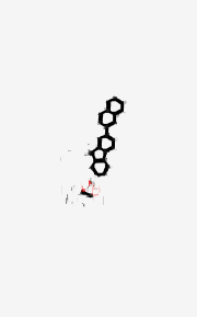 CCCCCCCCC1(CCCCCCCC)c2cc(B3OC(C)(C)C(C)(C)O3)ccc2-c2ccc(-c3ccc4ccccc4c3)cc21